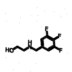 OCCNCc1cc(F)c(F)c(F)c1